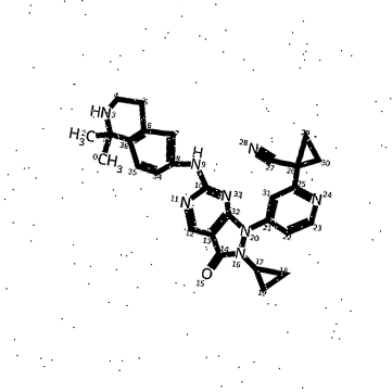 CC1(C)NCCc2cc(Nc3ncc4c(=O)n(C5CC5)n(-c5ccnc(C6(C#N)CC6)c5)c4n3)ccc21